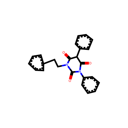 O=C1C(c2ccccc2)C(=O)N(c2ccccc2)C(=O)N1CCc1ccccc1